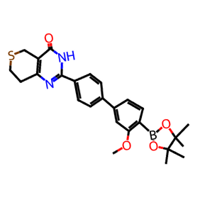 COc1cc(-c2ccc(-c3nc4c(c(=O)[nH]3)CSCC4)cc2)ccc1B1OC(C)(C)C(C)(C)O1